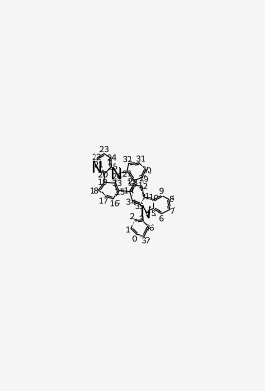 c1ccc(-n2c3ccccc3c3ccc(-c4cccc5c6ncccc6n(-c6ccccc6)c45)cc32)cc1